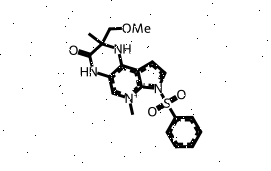 COCC1(C)Nc2c(c[n+](C)c3c2ccn3S(=O)(=O)c2ccccc2)NC1=O